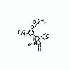 CC(C)Nc1nc(-c2cc(OCC(O)CN)cc(OC(F)(F)F)c2)cc(N2CCOCC2)c1C=N